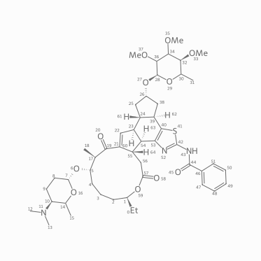 CC[C@H]1CCC[C@H](O[C@H]2CC[C@H](N(C)C)C(C)O2)[C@@H](C)C(=O)C2=C[C@H]3[C@@H]4C[C@H](O[C@@H]5OC(C)[C@H](OC)C(OC)C5OC)C[C@H]4c4sc(NC(=O)c5ccccc5)nc4[C@H]3[C@@H]2CC(=O)O1